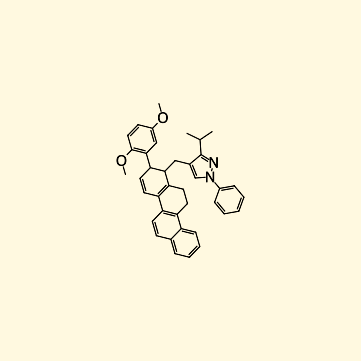 COc1ccc(OC)c(C2C=CC3=C(CCc4c3ccc3ccccc43)C2Cc2cn(-c3ccccc3)nc2C(C)C)c1